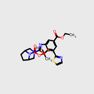 CCOC(=O)c1cc(-c2nccs2)c2oc(N3CC4CCC(C3)N4C(=O)OC(C)(C)C)nc2c1